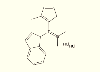 CC1=[C]([Ti]([CH]2C=Cc3ccccc32)=[Si](C)C)CC=C1.Cl.Cl